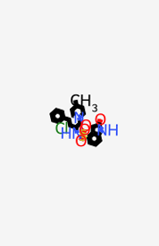 CC1CCN(C(=O)C(CCc2ccccc2Cl)NS(=O)(=O)c2cccc3c2CC(=O)N3)CC1